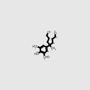 Cc1cc(C(C)(CCCCl)CCCCl)cc(C=O)c1O